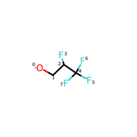 [O]CC(F)C(F)(F)F